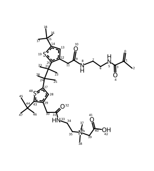 C=C(C)C(=O)NCCNC(=O)Cc1cc(C(C)(C)C)sc1C(C)(C)C(C)(C)c1cc(CC(=O)NCC[N+](C)(C)CC(=O)O)c(C(C)(C)C)s1